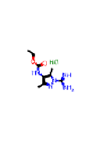 CCOC(=O)Nc1c(C)nn(C(=N)N)c1C.Cl